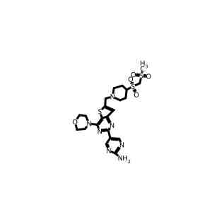 CS(=O)(=O)CS(=O)(=O)C1CCN(Cc2cc3nc(-c4cnc(N)nc4)nc(N4CCOCC4)c3s2)CC1